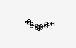 O=C(CCCCC(=O)OC(=O)c1ccccc1C(=O)OC(=O)CCCCC(=O)OCCOC(=O)c1ccccc1)OCCO